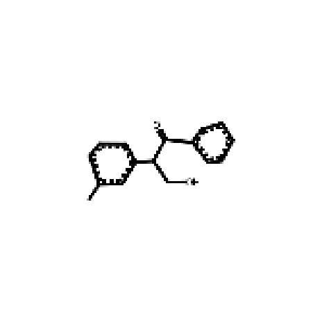 Cc1cccc(C(CO)C(=O)c2ccccc2)c1